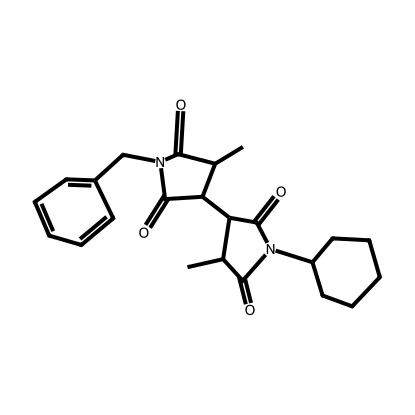 CC1C(=O)N(Cc2ccccc2)C(=O)C1C1C(=O)N(C2CCCCC2)C(=O)C1C